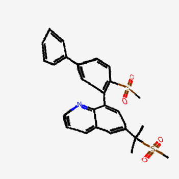 CC(C)(c1cc(-c2cc(-c3ccccc3)ccc2S(C)(=O)=O)c2ncccc2c1)S(C)(=O)=O